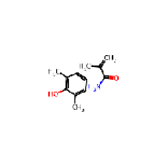 C=C(C)C(N)=O.Cc1cccc(C)c1O